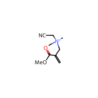 C=C(C[N+](C)(C)CC#N)C(=O)OC